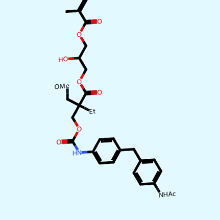 C=C(C)C(=O)OCC(O)COC(=O)C(CC)(COC)COC(=O)Nc1ccc(Cc2ccc(NC(C)=O)cc2)cc1